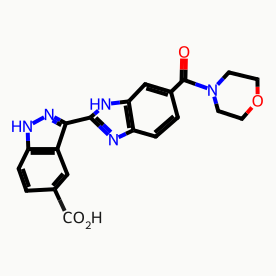 O=C(O)c1ccc2[nH]nc(-c3nc4ccc(C(=O)N5CCOCC5)cc4[nH]3)c2c1